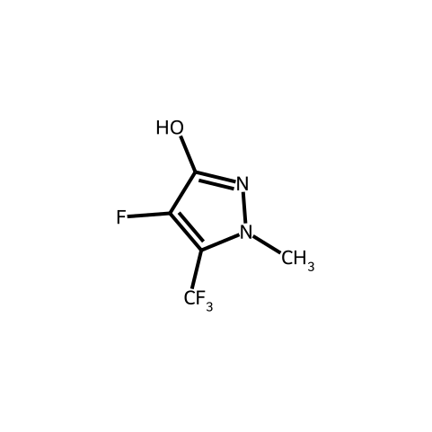 Cn1nc(O)c(F)c1C(F)(F)F